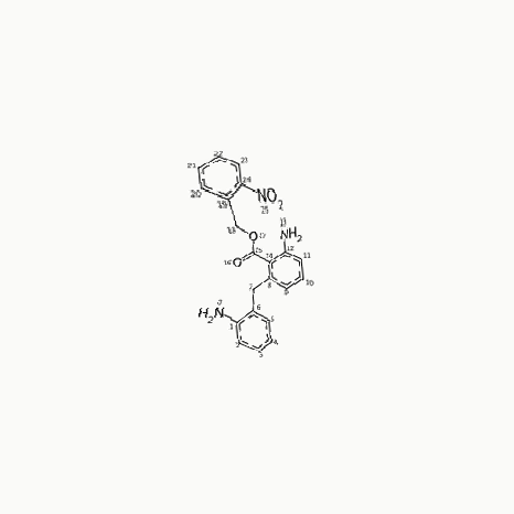 Nc1ccccc1Cc1cccc(N)c1C(=O)OCc1ccccc1[N+](=O)[O-]